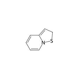 C1=CC2=CCSN2C=C1